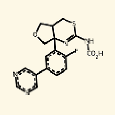 O=C(O)NC1=NC2(c3cc(-c4cncnc4)ccc3F)COCC2CS1